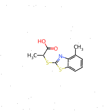 Cc1cccc2sc(SC(C)C(=O)O)nc12